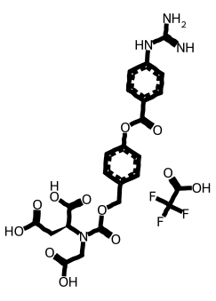 N=C(N)Nc1ccc(C(=O)Oc2ccc(COC(=O)N(CC(=O)O)[C@@H](CC(=O)O)C(=O)O)cc2)cc1.O=C(O)C(F)(F)F